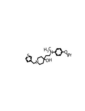 CC(C)Oc1ccc(N(C)CCC2(O)CCN(Cc3ccsc3)CC2)cc1